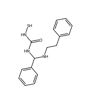 O=C(NS)NC(NCCc1ccccc1)c1ccccc1